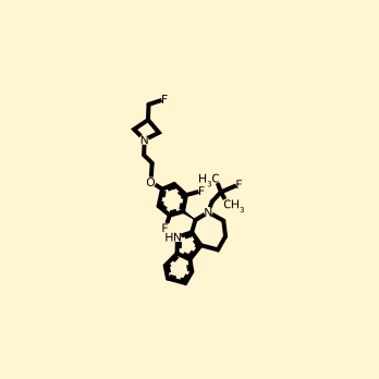 CC(C)(F)CN1CCCc2c([nH]c3ccccc23)[C@H]1c1c(F)cc(OCCN2CC(CF)C2)cc1F